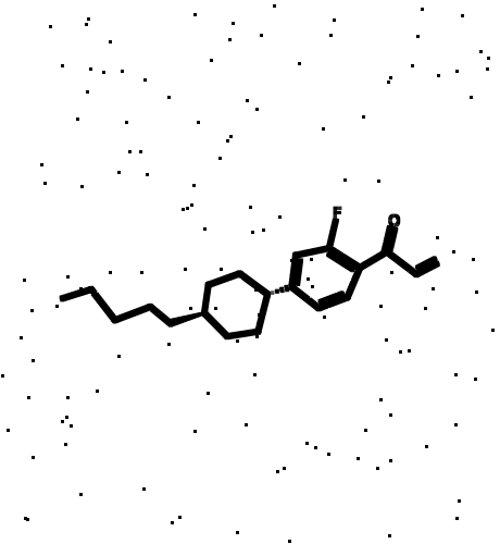 C=CC(=O)c1ccc([C@H]2CC[C@H](CCCCC)CC2)cc1F